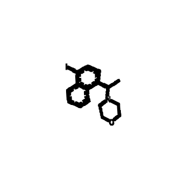 CC(c1ccc(I)c2ccccc12)N1CCOCC1